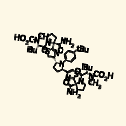 CC[C@H](C)[C@@H](C(=O)N1CCC[C@]1(C(N)=O)c1nc([C@H]2CC[C@H](c3csc([C@@]4(C(N)=O)CCCN4C(=O)[C@H]([C@@H](C)CC)N(C)C(=O)O)n3)N2c2ccc(C(C)(C)C)cc2)cs1)N(C)C(=O)O